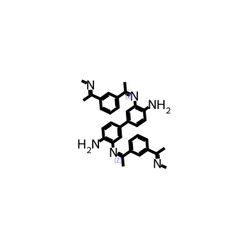 CN=C(C)c1cccc(/C(C)=N\c2cc(-c3ccc(N)c(/N=C(/C)c4cccc(C(C)=NC)c4)c3)ccc2N)c1